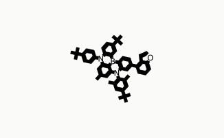 Cc1cc2c3c(c1)N(c1c(C)cc(C(C)(C)C)cc1C)c1cc(-c4cccc5occc45)ccc1B3c1cc(C(C)(C)C)ccc1N2c1ccc(C(C)(C)C)cc1